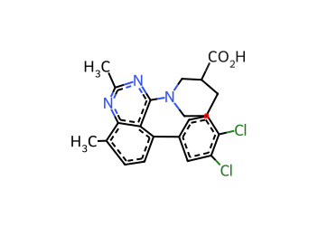 Cc1nc(N2CCCC(C(=O)O)C2)c2c(-c3ccc(Cl)c(Cl)c3)ccc(C)c2n1